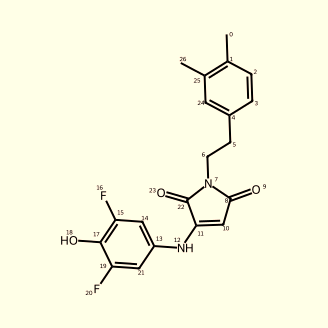 Cc1ccc(CCN2C(=O)C=C(Nc3cc(F)c(O)c(F)c3)C2=O)cc1C